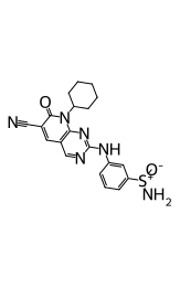 N#Cc1cc2cnc(Nc3cccc([S+](N)[O-])c3)nc2n(C2CCCCC2)c1=O